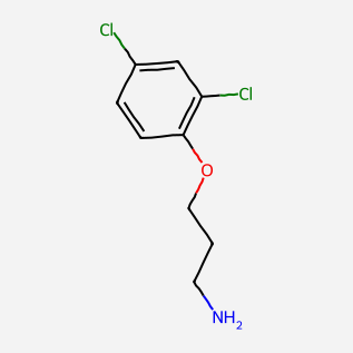 NCCCOc1ccc(Cl)cc1Cl